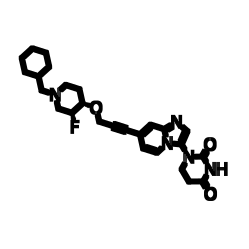 O=C1CCN(c2cnc3cc(C#CCO[C@@H]4CCN(CC5CCCCC5)C[C@@H]4F)ccn23)C(=O)N1